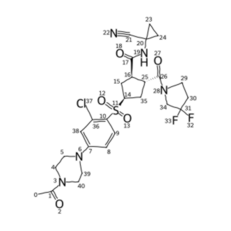 CC(=O)N1CCN(c2ccc(S(=O)(=O)[C@H]3C[C@@H](C(=O)NC4(C#N)CC4)[C@H](C(=O)N4CCC(F)(F)C4)C3)c(Cl)c2)CC1